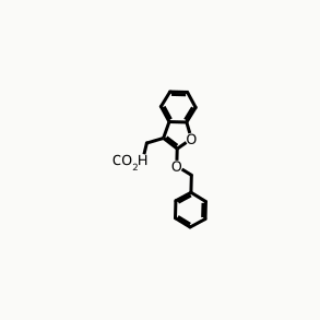 O=C(O)Cc1c(OCc2ccccc2)oc2ccccc12